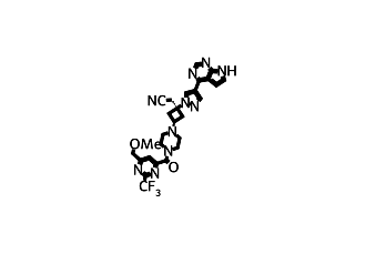 COCc1cc(C(=O)N2CCN([C@H]3C[C@@](CC#N)(n4cc(-c5ncnc6[nH]ccc56)cn4)C3)CC2)nc(C(F)(F)F)n1